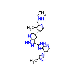 CCNCc1nccc(-c2cnc3[nH]nc(-c4nc5c(-n6cnc(C)c6)ccnc5[nH]4)c3c2)c1C